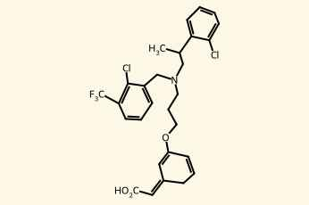 CC(CN(CCCOC1=CC(=CC(=O)O)CC=C1)Cc1cccc(C(F)(F)F)c1Cl)c1ccccc1Cl